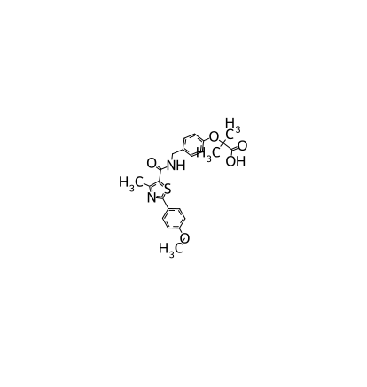 COc1ccc(-c2nc(C)c(C(=O)NCc3ccc(OC(C)(C)C(=O)O)cc3)s2)cc1